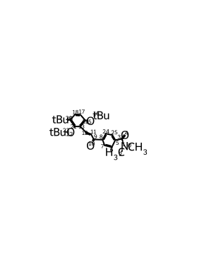 CN(C)C(=O)c1ccc(C(=O)C=Cc2c(OC(C)(C)C)ccc(C(C)(C)C)c2OC(C)(C)C)cc1